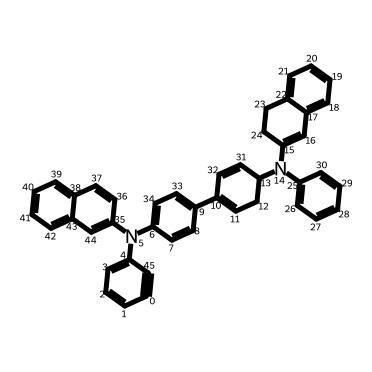 c1cccc(N(c2ccc(C3=CCC(N(C4=Cc5ccccc5CC4)c4ccccc4)C=C3)cc2)c2ccc3ccccc3c2)c#1